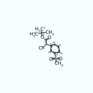 CC(C)(C)OC(=O)C(Cl)c1cccc(S(C)(=O)=O)c1